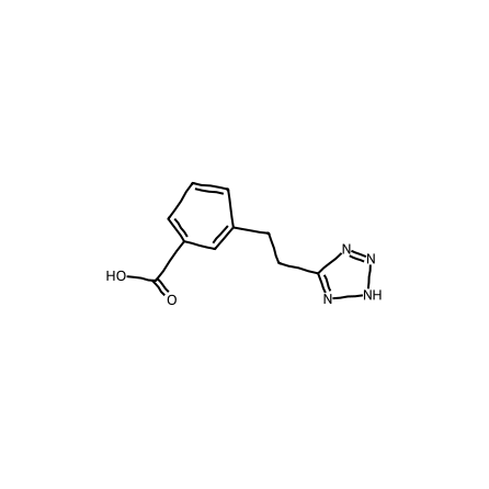 O=C(O)c1cccc(CCc2nn[nH]n2)c1